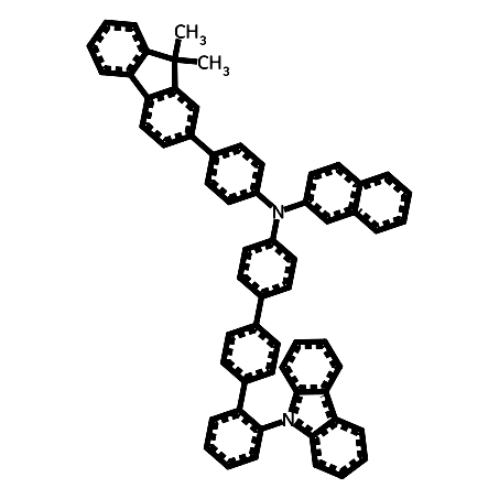 CC1(C)c2ccccc2-c2ccc(-c3ccc(N(c4ccc(-c5ccc(-c6ccccc6-n6c7ccccc7c7ccccc76)cc5)cc4)c4ccc5ccccc5c4)cc3)cc21